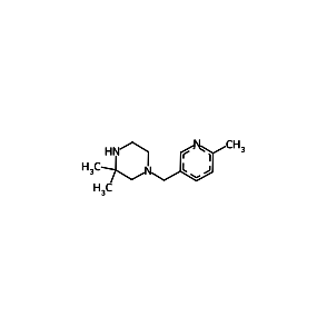 Cc1ccc(CN2CCNC(C)(C)C2)cn1